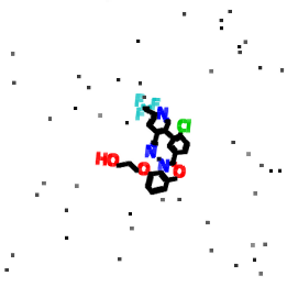 Cc1cccc(OCCCO)c1N(C)C(=O)c1ccc(Cl)c(-c2cnc(C(F)(F)F)cc2C#N)c1